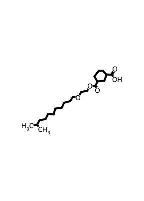 CC(C)CCCCCCCCCOCCOC(=O)C1CCCC(C(=O)O)C1